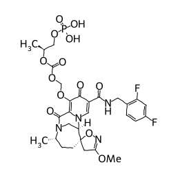 COC1=NO[C@@]2(CC[C@H](C)N3C[C@H]2n2cc(C(=O)NCc4ccc(F)cc4F)c(=O)c(OCOC(=O)O[C@@H](C)COP(=O)(O)O)c2C3=O)C1